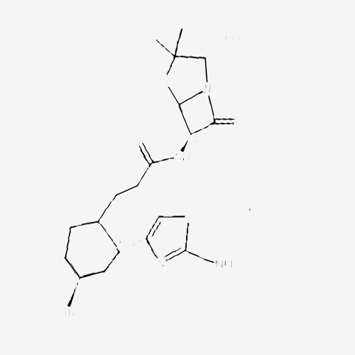 CC(C)(C)[C@H]1CCC(CCC(=O)N[C@@H]2C(=O)N3[C@@H]2SC(C)(C)[C@@H]3C(=O)[O-])[C@H](c2csc(N)n2)C1.[Na+]